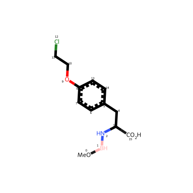 COBNC(Cc1ccc(OCCCl)cc1)C(=O)O